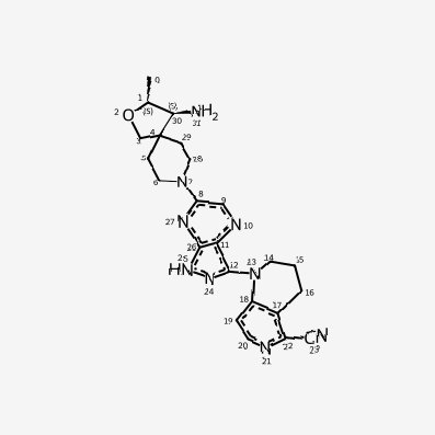 C[C@@H]1OCC2(CCN(c3cnc4c(N5CCCc6c5ccnc6C#N)n[nH]c4n3)CC2)[C@@H]1N